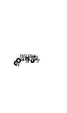 CSc1ncnn2c([C@@H]3O[C@H](COc4ccc5cccnc5c4)[C@@H](O)[C@H]3O)ccc12